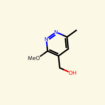 COc1nnc(C)cc1CO